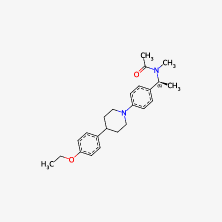 CCOc1ccc(C2CCN(c3ccc([C@H](C)N(C)C(C)=O)cc3)CC2)cc1